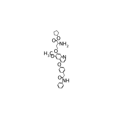 COc1cc2c(Oc3ccc(CC(=O)Nc4ccccc4)cc3)ccnc2cc1OCC[C@H](N)C(=O)OC1CCCC1